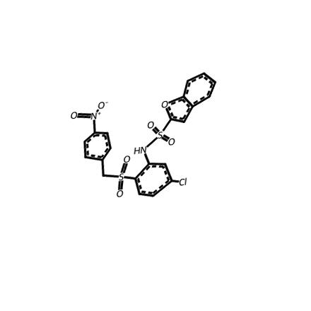 O=[N+]([O-])c1ccc(CS(=O)(=O)c2ccc(Cl)cc2NS(=O)(=O)c2cc3ccccc3o2)cc1